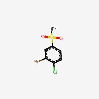 CC(C)S(=O)(=O)c1ccc(Cl)c(Br)c1